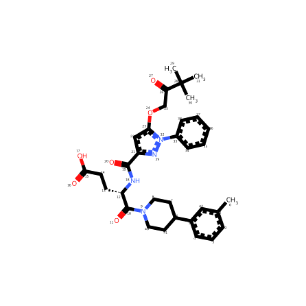 Cc1cccc(C2CCN(C(=O)[C@H](CCC(=O)O)NC(=O)c3cc(OCC(=O)C(C)(C)C)n(-c4ccccc4)n3)CC2)c1